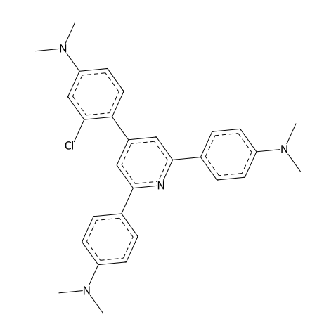 CN(C)c1ccc(-c2cc(-c3ccc(N(C)C)cc3Cl)cc(-c3ccc(N(C)C)cc3)n2)cc1